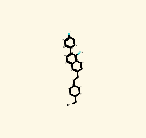 CCC1CCC(CCc2ccc3c(F)c(-c4ccc(F)cc4)ccc3c2)CC1